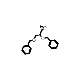 c1ccc(COC[C@H](OCc2ccccc2)[C@H]2CO2)cc1